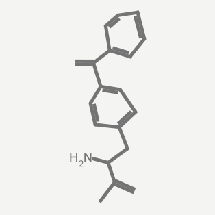 C=C(c1ccccc1)c1ccc(CC(N)C(=C)C)cc1